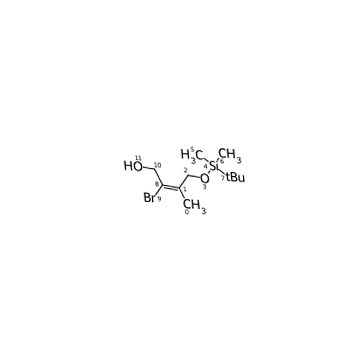 C/C(CO[Si](C)(C)C(C)(C)C)=C(\Br)CO